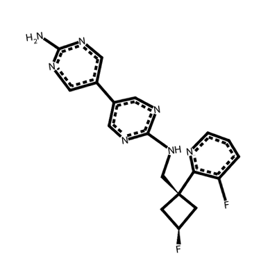 Nc1ncc(-c2cnc(NC[C@]3(c4ncccc4F)C[C@H](F)C3)nc2)cn1